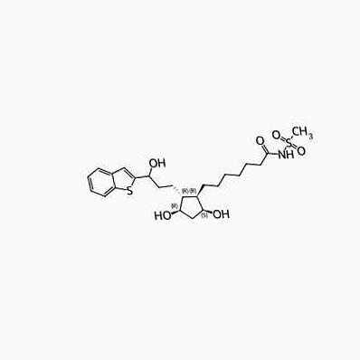 CS(=O)(=O)NC(=O)CCCCCC[C@@H]1[C@@H](CCC(O)c2cc3ccccc3s2)[C@H](O)C[C@@H]1O